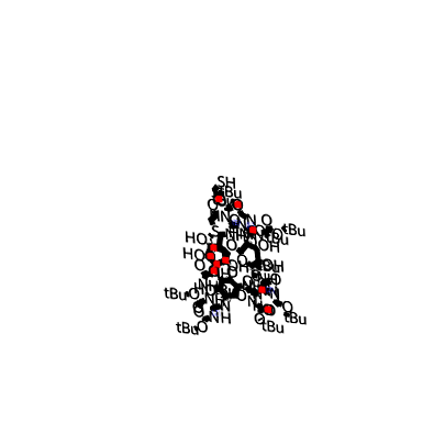 CC(C)(C)OC(=O)N=C(NC(=O)OC(C)(C)C)NC1C[C@@H](N/C(=N/C(=O)OC(C)(C)C)NC(=O)OC(C)(C)C)C(O)C(O[C@@H]2O[C@H](CSCCOCCS)C(OC3O[C@@H](CN/C(=N/C(=O)OC(C)(C)C)NC(=O)OC(C)(C)C)C(O)C(O)[C@H]3N/C(=N\C(=O)OC(C)(C)C)NC(=O)OC(C)(C)C)C2O)[C@@H]1O[C@H]1CC(CN/C(=N\C(=O)OC(C)(C)C)NC(=O)OC(C)(C)C)[C@@H](O)C(O)C1NC(N)=O